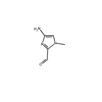 Cn1cc(N)nc1[C]=O